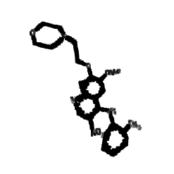 COc1cc2c(Nc3ccccc3C)c([N+](=O)[O-])cnc2cc1OCCN1CCOCC1